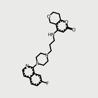 O=c1cc(NCCCN2CCN(c3nccc4ccc(F)cc34)CC2)c2c(o1)CCOC2